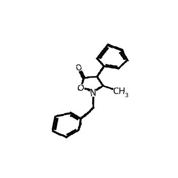 CC1C(c2ccccc2)C(=O)ON1Cc1ccccc1